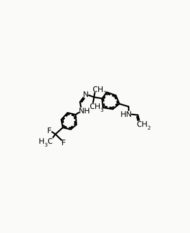 C=CNCc1ccc(C(C)(C)/N=C\Nc2ccc(C(C)(F)F)cc2)cc1